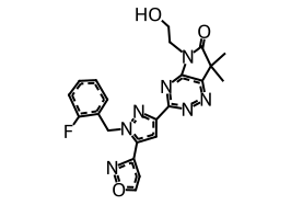 CC1(C)C(=O)N(CCO)c2nc(-c3cc(-c4ccon4)n(Cc4ccccc4F)n3)nnc21